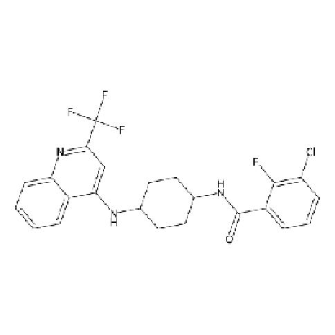 O=C(NC1CCC(Nc2cc(C(F)(F)F)nc3ccccc23)CC1)c1cccc(Cl)c1F